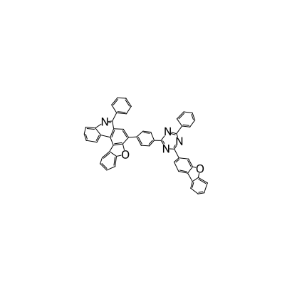 c1ccc(-c2nc(-c3ccc(-c4cc5c(-c6ccccc6)nc6ccccc6c5c5c4oc4ccccc45)cc3)nc(-c3ccc4c(c3)oc3ccccc34)n2)cc1